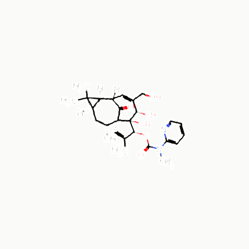 CC1=C[C@]23C(=O)[C@@H](C=C(CO)[C@@H](O)[C@]2(O)[C@H]1OC(=O)N(C)c1ccccn1)[C@H]1[C@@H](C[C@H]3C)C1(C)C